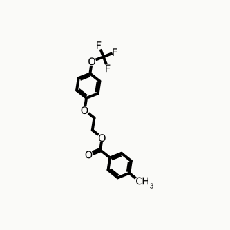 Cc1ccc(C(=O)OCCOc2ccc(OC(F)(F)F)cc2)cc1